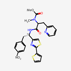 COC(=O)N(C)C(Cc1ccccn1)C(=O)N[C@@H](Cc1ccc([N+](=O)[O-])cc1)c1csc(-c2cccs2)n1